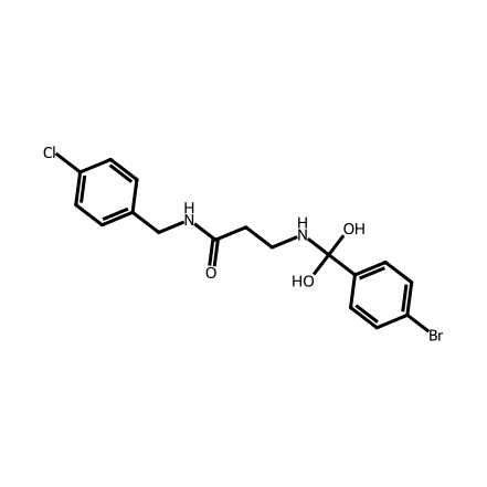 O=C(CCNC(O)(O)c1ccc(Br)cc1)NCc1ccc(Cl)cc1